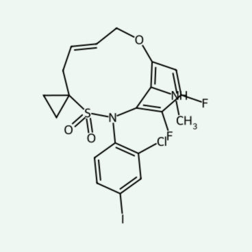 CNc1c2cc(F)c(F)c1N(c1ccc(I)cc1Cl)S(=O)(=O)C1(C/C=C/CO2)CC1